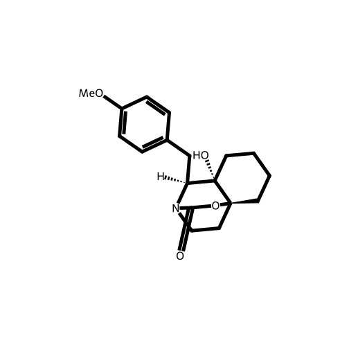 COc1ccc(C[C@@H]2N3CC[C@]4(CCCC[C@]24O)OC3=O)cc1